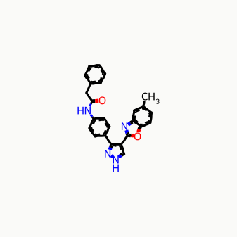 Cc1ccc2oc(-c3c[nH]nc3-c3ccc(NC(=O)Cc4ccccc4)cc3)nc2c1